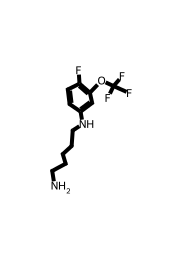 NCCCCCNc1ccc(F)c(OC(F)(F)F)c1